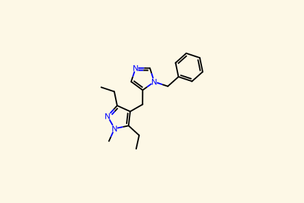 CCc1nn(C)c(CC)c1Cc1cncn1Cc1ccccc1